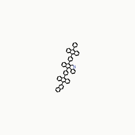 c1ccc(-c2c3ccccc3c(-c3ccc(-c4c5ccccc5c(-c5ccc(-c6c7ccccc7c(-c7ccc8ccccc8c7)c7ccccc67)cc5)c5c4cnc4ccccc45)cc3)c3ccccc23)cc1